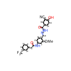 COc1cc(NC(=O)Cc2cccc(C(F)(F)F)c2)ccc1C=NNC(=O)c1ccc(O)c(C#N)c1